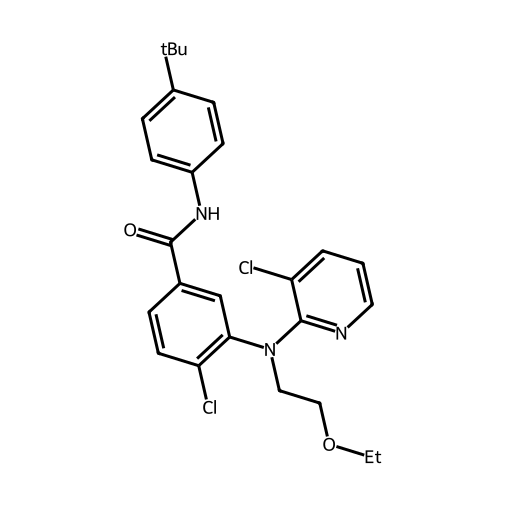 CCOCCN(c1cc(C(=O)Nc2ccc(C(C)(C)C)cc2)ccc1Cl)c1ncccc1Cl